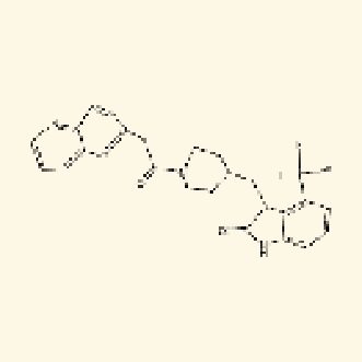 O=C(Cc1ccc2ncccc2c1)N1CCC(Cn2c(=O)[nH]c3cccc(C(F)(F)F)c32)CC1